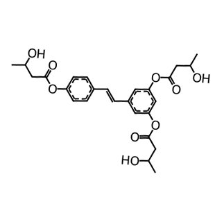 CC(O)CC(=O)Oc1ccc(/C=C/c2cc(OC(=O)CC(C)O)cc(OC(=O)CC(C)O)c2)cc1